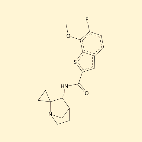 COc1c(F)ccc2cc(C(=O)N[C@@H]3C4CCN(C4)C34CC4)sc12